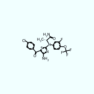 C[C@H](C(N)=O)N(c1ccc(OC(F)(F)F)c(F)c1)c1nc(N)c(C(=O)c2ccc(Cl)cc2)s1